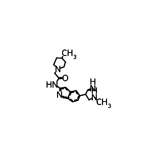 CNCC(C=N)c1ccc2cnc(NC(=O)CN3CCC(C)CC3)cc2c1